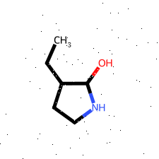 CCC1CCNC1O